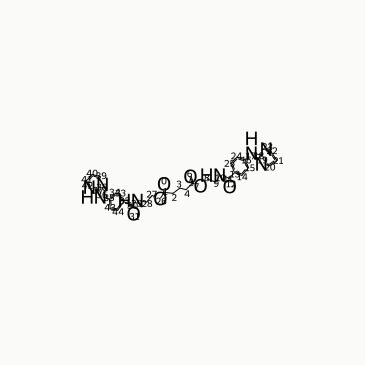 O=C(CCCC(=O)OCCNC(=O)c1ccc(Nc2ncccn2)cc1)OCCNC(=O)c1ccc(Nc2ncccn2)cc1